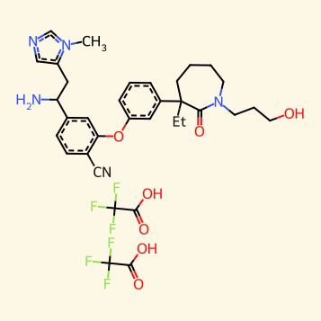 CCC1(c2cccc(Oc3cc(C(N)Cc4cncn4C)ccc3C#N)c2)CCCCN(CCCO)C1=O.O=C(O)C(F)(F)F.O=C(O)C(F)(F)F